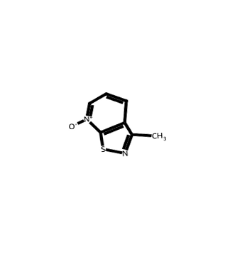 Cc1nsc2c1ccc[n+]2[O-]